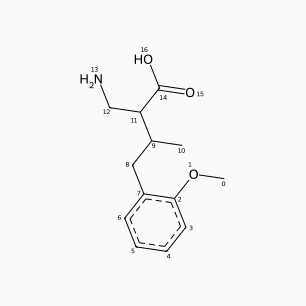 COc1ccccc1CC(C)C(CN)C(=O)O